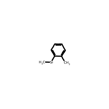 C[Si]c1ccccc1C